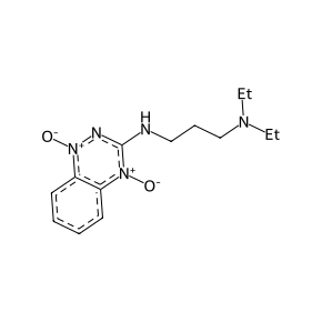 CCN(CC)CCCNc1n[n+]([O-])c2ccccc2[n+]1[O-]